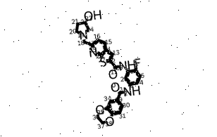 O=C(Nc1ccc(F)c(NC(=O)c2cc3ccc(CN4CC[C@H](O)C4)nc3s2)c1)c1ccc2c(c1)OCCO2